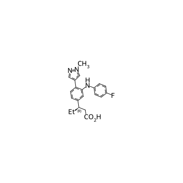 CC[C@H](CC(=O)O)c1ccc(-c2cnn(C)c2)c(Nc2ccc(F)cc2)c1